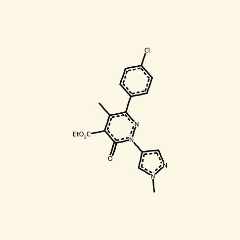 CCOC(=O)c1c(C)c(-c2ccc(Cl)cc2)nn(-c2cnn(C)c2)c1=O